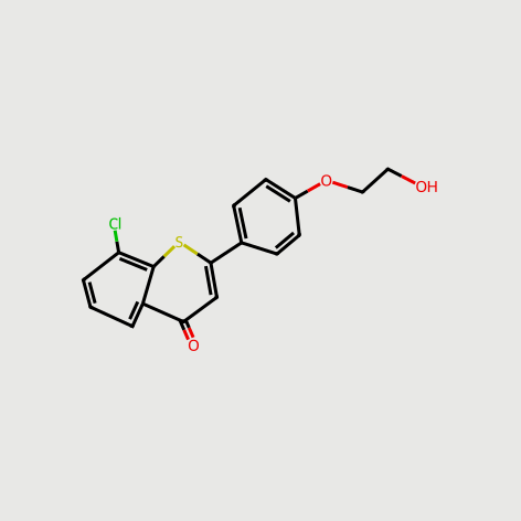 O=c1cc(-c2ccc(OCCO)cc2)sc2c(Cl)cccc12